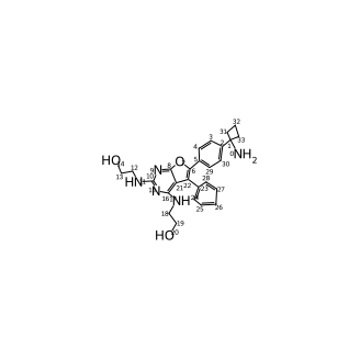 NC1(c2ccc(-c3oc4nc(NCCO)nc(NCCO)c4c3-c3ccccc3)cc2)CCC1